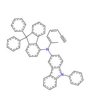 C#C/C=C\C=C(/C)N(c1ccc2c(c1)c1ccccc1n2-c1ccccc1)c1cccc2c1-c1ccccc1C2(c1ccccc1)c1ccccc1